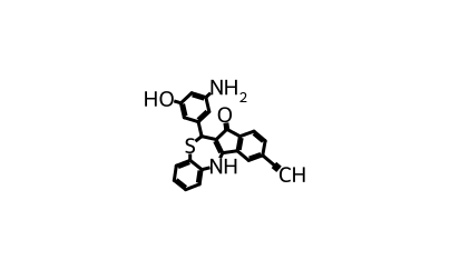 C#Cc1ccc2c(c1)C1=C(C2=O)C(c2cc(N)cc(O)c2)Sc2ccccc2N1